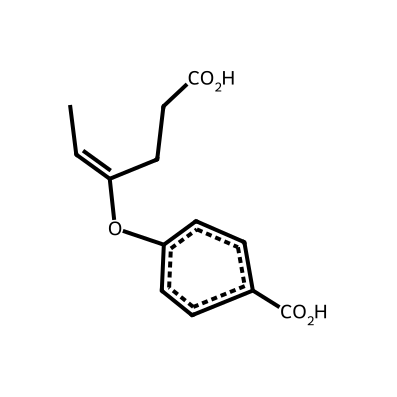 CC=C(CCC(=O)O)Oc1ccc(C(=O)O)cc1